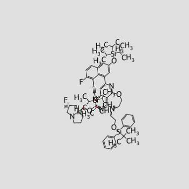 CC(C)[Si](C#Cc1c(F)ccc2cc(O[Si](C(C)C)(C(C)C)C(C)C)cc(-c3cc4nc(OC[C@@]56CCCN5C[C@H](F)C6)nc5c4c(n3)OCCN5CCO[Si](c3ccccc3)(c3ccccc3)C(C)(C)C)c12)(C(C)C)C(C)C